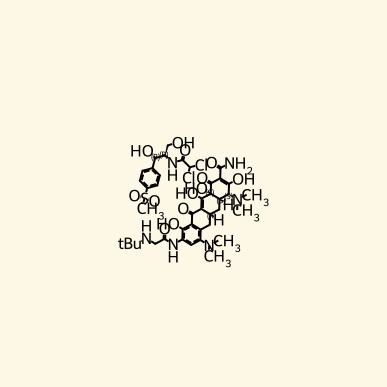 CN(C)c1cc(NC(=O)CNC(C)(C)C)c(O)c2c1C[C@H]1C[C@H]3[C@H](N(C)C)C(O)=C(C(N)=O)C(=O)[C@@]3(O)C(O)=C1C2=O.CS(=O)(=O)c1ccc([C@@H](O)[C@@H](CO)NC(=O)C(Cl)Cl)cc1